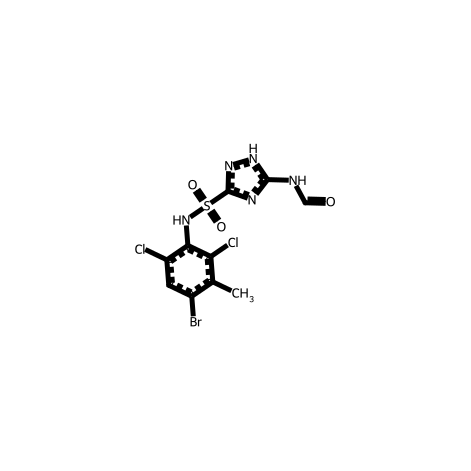 Cc1c(Br)cc(Cl)c(NS(=O)(=O)c2n[nH]c(NC=O)n2)c1Cl